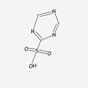 O=S(=O)(O)c1n[c]ncn1